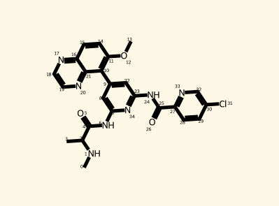 CNC(C)C(=O)Nc1cc(-c2c(OC)ccc3nccnc23)cc(NC(=O)c2ccc(Cl)cn2)n1